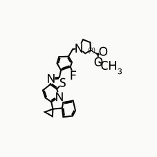 COC(=O)[C@@H]1CCN(Cc2ccc(-c3nc4ccc(C5(c6ccccc6)CC5)nc4s3)c(F)c2)C1